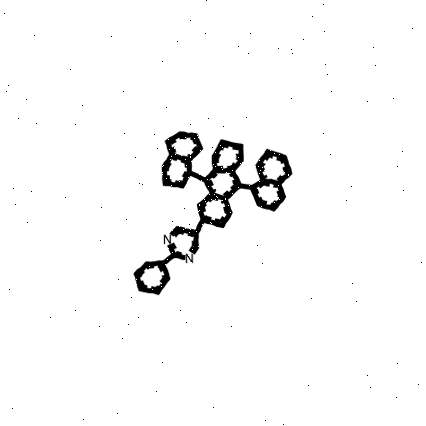 c1ccc(-c2ncc(-c3ccc4c(-c5cccc6ccccc56)c5ccccc5c(-c5cccc6ccccc56)c4c3)cn2)cc1